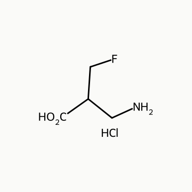 Cl.NCC(CF)C(=O)O